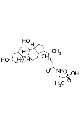 CC(CNC(=O)CC[C@@H](C)[C@H]1CC[C@H]2[C@@H]3[C@@H](O)CC4C[C@H](O)CC[C@]4(C)[C@H]3CC[C@]12C)S(=O)(=O)O